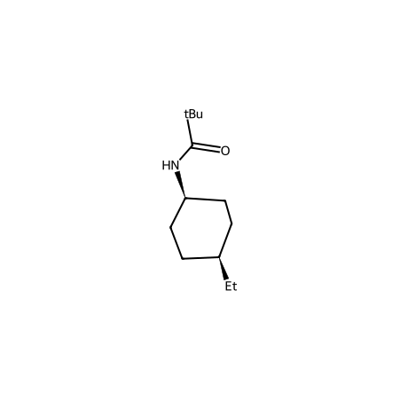 CC[C@H]1CC[C@@H](NC(=O)C(C)(C)C)CC1